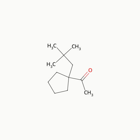 CC(=O)C1(CC(C)(C)C)CCCC1